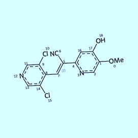 COc1cnc(/C(C#N)=C/c2c(Cl)cncc2Cl)cc1O